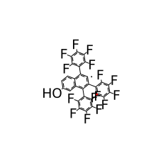 Oc1ccc2c(-c3c(F)c(F)c(F)c(F)c3F)[c]c(-c3c(F)c(F)c(F)c(F)c3F)c(-c3c(F)c(F)c(F)c(F)c3F)c2c1